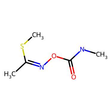 C[N]C(=O)O/N=C(/C)SC